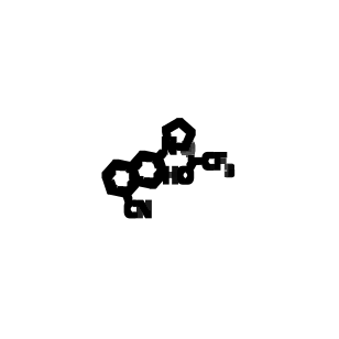 N#Cc1cccc2cc(N3CCC[C@@H]3C(O)C(F)(F)F)ccc12